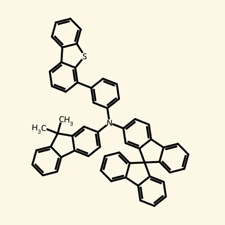 CC1(C)c2ccccc2-c2ccc(N(c3cccc(-c4cccc5c4sc4ccccc45)c3)c3ccc4c(c3)C3(c5ccccc5-c5ccccc53)c3ccccc3-4)cc21